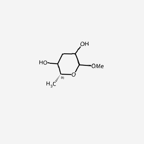 COC1O[C@H](C)C(O)CC1O